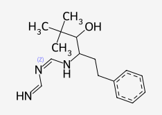 CC(C)(C)C(O)C(CCc1ccccc1)N/C=N\C=N